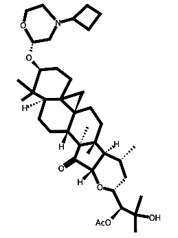 CC(=O)O[C@@H]([C@H]1C[C@@H](C)[C@H]2[C@H](O1)C(=O)[C@@]1(C)[C@@H]3CC[C@H]4C(C)(C)[C@@H](O[C@H]5CN(C6CCC6)CCO5)CCC45C[C@@]35CC[C@]21C)C(C)(C)O